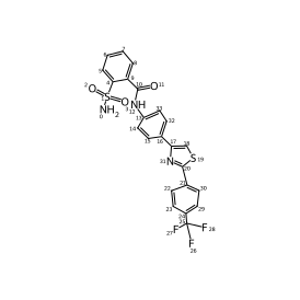 NS(=O)(=O)c1ccccc1C(=O)Nc1ccc(-c2csc(-c3ccc(C(F)(F)F)cc3)n2)cc1